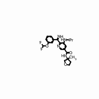 CC(C)Nc1cc(C(=O)NC2(C)CCOC2)cnc1C(=N)c1cccc(OC(F)F)c1